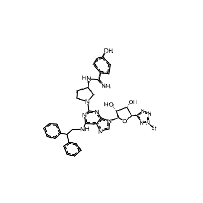 CCn1nnc([C@H]2O[C@@H](n3cnc4c(NCC(c5ccccc5)c5ccccc5)nc(N5CC[C@@H](NC(=N)c6ccc(O)cc6)C5)nc43)[C@H](O)[C@@H]2O)n1